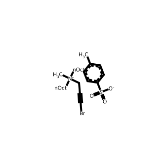 CCCCCCCC[N+](C)(CC#CBr)CCCCCCCC.Cc1ccc(S(=O)(=O)[O-])cc1